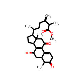 C=C(CCC(C)C1CCC2C3=C(C(=O)CC21C)C1=CCC(=O)C(C)C1CC3O)C(C)C(=O)OC